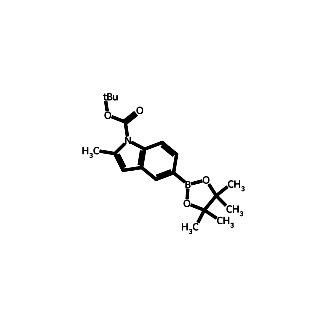 Cc1cc2cc(B3OC(C)(C)C(C)(C)O3)ccc2n1C(=O)OC(C)(C)C